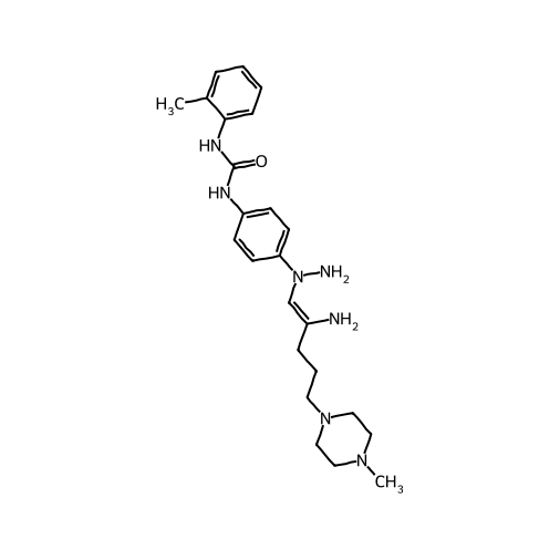 Cc1ccccc1NC(=O)Nc1ccc(N(N)/C=C(\N)CCCN2CCN(C)CC2)cc1